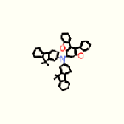 CC1(C)c2ccccc2-c2ccc(N(c3ccc4c(c3)C(C)(C)c3ccccc3-4)c3cc4oc5ccccc5c4c4c3oc3ccccc34)cc21